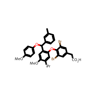 COc1ccc(OC(c2cccc(C)c2)c2cc(OC)c(C(C)C)cc2Oc2c(Br)cc(CC(=O)O)cc2Br)cc1